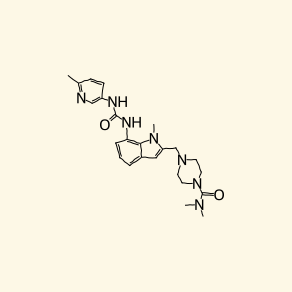 Cc1ccc(NC(=O)Nc2cccc3cc(CN4CCN(C(=O)N(C)C)CC4)n(C)c23)cn1